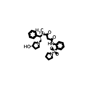 CN(C(=O)CC(=O)Nc1ccccc1S(=O)(=O)N1CCCC1)[C@H](CN1CC[C@H](O)C1)c1ccccc1